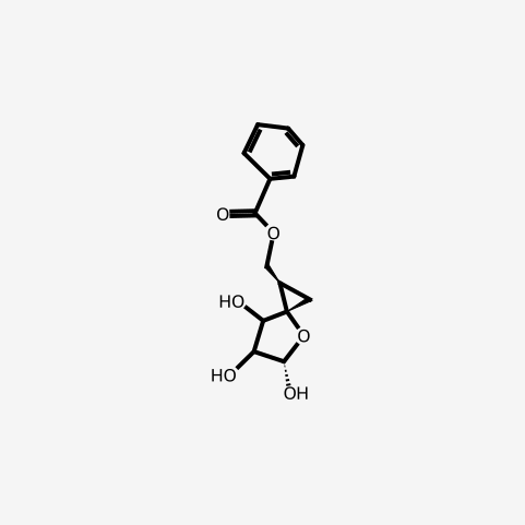 O=C(OC[C@H]1C[C@]12O[C@H](O)C(O)C2O)c1ccccc1